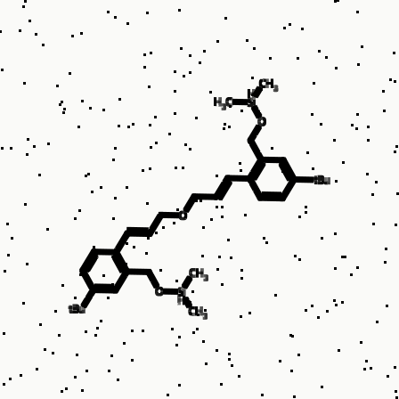 C[SiH](C)OCc1cc(C(C)(C)C)ccc1C=CCOCC=Cc1ccc(C(C)(C)C)cc1CO[SiH](C)C